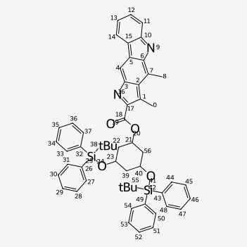 CC1=c2c(cc3c(c2C)N=c2ccccc2=3)N=C1C(=O)OC1CC(O[Si](c2ccccc2)(c2ccccc2)C(C)(C)C)CC(O[Si](c2ccccc2)(c2ccccc2)C(C)(C)C)C1